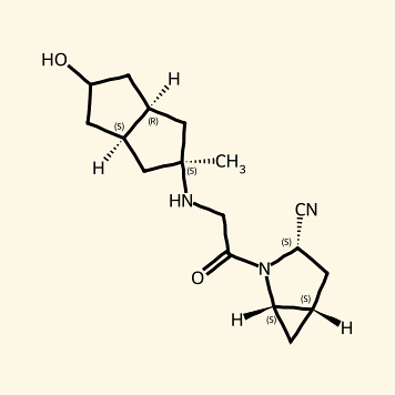 C[C@]1(NCC(=O)N2[C@H](C#N)C[C@@H]3C[C@@H]32)C[C@H]2CC(O)C[C@H]2C1